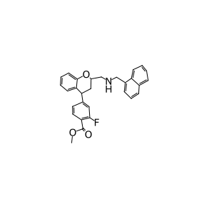 COC(=O)c1ccc(C2CC(CNCc3cccc4ccccc34)Oc3ccccc32)cc1F